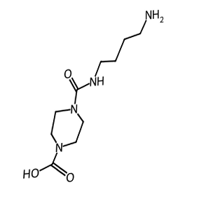 NCCCCNC(=O)N1CCN(C(=O)O)CC1